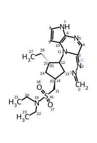 C=N/N=c1/cnc2[nH]ccc2n1C1C[C@@H](CS(=O)(=O)N(CC)CC)C[C@@H]1CC